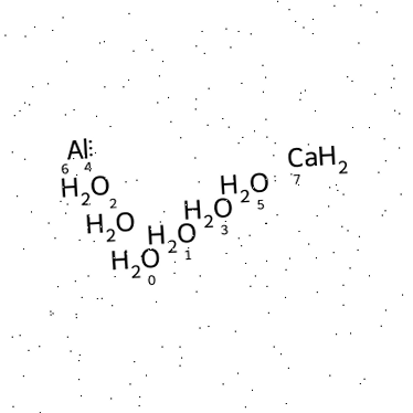 O.O.O.O.O.O.[Al].[CaH2]